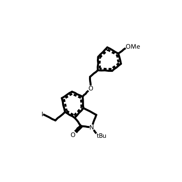 COc1ccc(COc2ccc(CI)c3c2CN(C(C)(C)C)C3=O)cc1